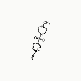 CN1CCN(S(=O)(=O)c2ccc(C#N)cc2)CC1